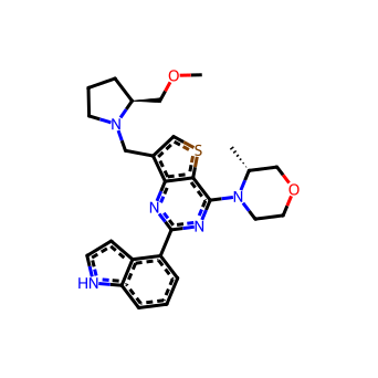 COC[C@@H]1CCCN1Cc1csc2c(N3CCOC[C@H]3C)nc(-c3cccc4[nH]ccc34)nc12